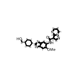 COc1cc2nc([C@H]3CC[C@H](CO)CC3)sc2cc1NC(=O)c1cnn2cccnc12